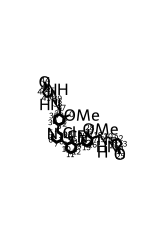 COc1cc(-c2nccc(-c3cccc(-c4ccc(CNC[C@H]5CCC(=O)N5)c(OC)n4)c3C(F)(F)F)c2Cl)ccc1CNC[C@@H]1CCC(=O)N1